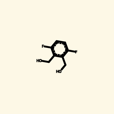 OCc1c(F)ccc(F)c1CO